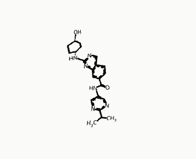 CC(C)c1ncc(NC(=O)c2ccc3cnc(N[C@H]4CC[C@H](O)CC4)nc3c2)cn1